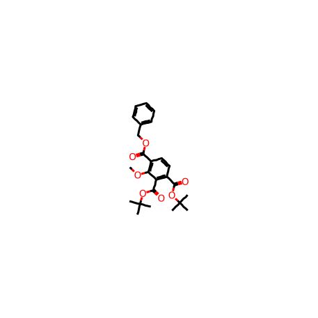 COc1c(C(=O)OCc2ccccc2)ccc(C(=O)OC(C)(C)C)c1C(=O)OC(C)(C)C